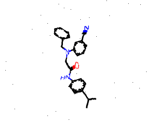 CC(C)c1ccc(NC(=O)CN(Cc2ccccc2)c2cccc(C#N)c2)cc1